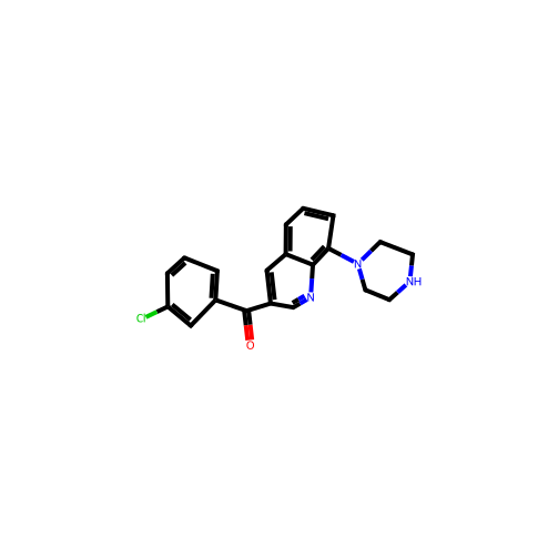 O=C(c1cccc(Cl)c1)c1cnc2c(N3CCNCC3)cccc2c1